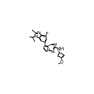 CO[C@H]1C[C@@H](Nc2ncc3c(-c4cc(F)c5nc(C)n(C(C)C)c5c4)ccn3n2)C1